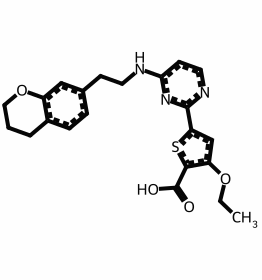 CCOc1cc(-c2nccc(NCCc3ccc4c(c3)OCCC4)n2)sc1C(=O)O